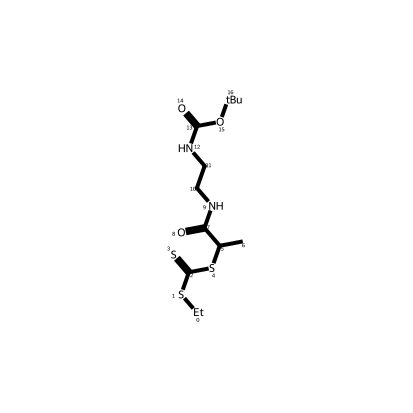 CCSC(=S)SC(C)C(=O)NCCNC(=O)OC(C)(C)C